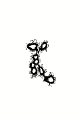 c1ccc(-c2ccc(C3Cc4cc(N(c5ccccc5)c5ccccc5)ccc4-c4ccc5ccccc5c43)cc2)cc1